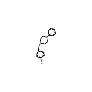 Clc1ccc(CN2CCN(c3ccccc3)CC2)cc1